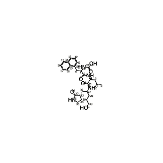 CC(C)CC(NC(=O)C(Cc1cccc2ccccc12)NC(=O)O)C(=O)NC(CCCO)C[C@@H]1CCNC1=O